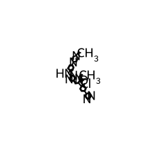 CCN1CCN(c2ccc(Nc3ncc4cc(-c5ccc(-c6cncnc6)cc5Cl)c(=O)n(CC)c4n3)cc2)CC1